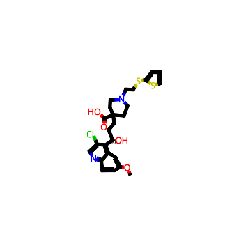 COc1ccc2ncc(Cl)c([C@H](O)CCC3(C(=O)O)CCN(CCSc4cccs4)CC3)c2c1